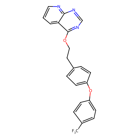 FC(F)(F)c1ccc(Oc2ccc(CCOc3ncnc4ncccc34)cc2)cc1